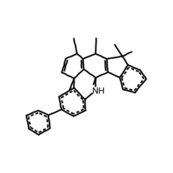 CC1C=CC2(C)C3=C1C(C)C1=C(c4ccccc4C1(C)C)C3(C)Nc1ccc(-c3ccccc3)cc12